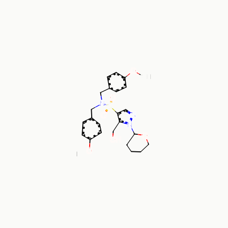 COc1ccc(CN(Cc2ccc(OC)cc2)S(=O)(=O)c2cnn(C3CCCCO3)c2CO)cc1